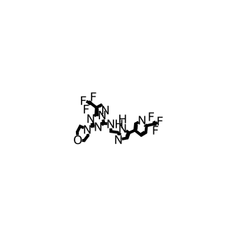 FC(F)(F)c1ccc(-c2cnc(CNc3nc(N4CCOCC4)nc4c(C(F)(F)F)cnn34)[nH]2)cn1